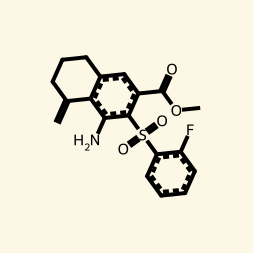 C=C1CCCc2cc(C(=O)OC)c(S(=O)(=O)c3ccccc3F)c(N)c21